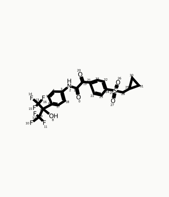 O=C(Nc1ccc(C(O)(C(F)(F)F)C(F)(F)F)cc1)C(=O)c1ccc(S(=O)(=O)CC2CC2)cc1